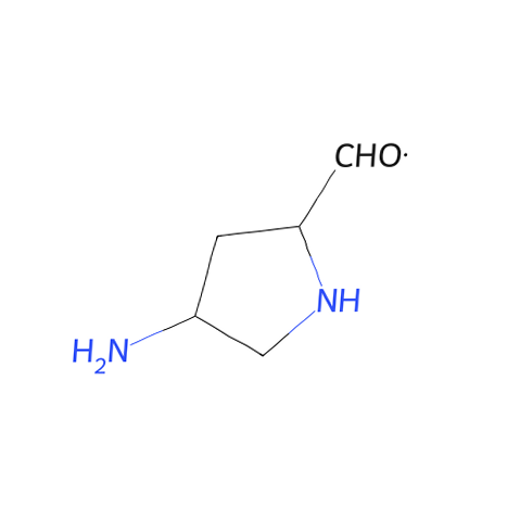 NC1CNC([C]=O)C1